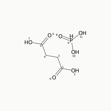 O=C(O)CCC(=O)O.O=[PH](O)O